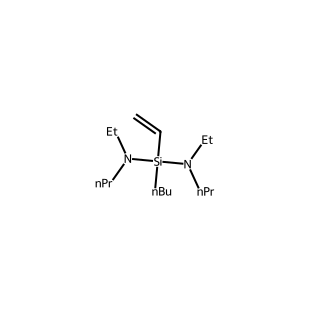 C=C[Si](CCCC)(N(CC)CCC)N(CC)CCC